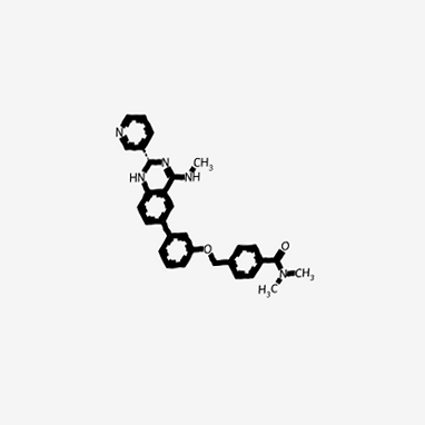 CNC1=N[C@@H](c2cccnc2)Nc2ccc(-c3cccc(OCc4ccc(C(=O)N(C)C)cc4)c3)cc21